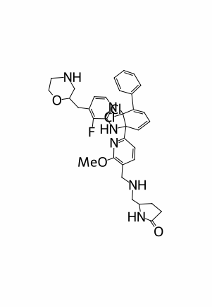 COc1nc(C2(Nc3nccc(CC4CNCCO4)c3F)C=CC=C(c3ccccc3)C2(Cl)Cl)ccc1CNCC1CCC(=O)N1